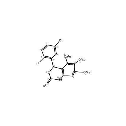 COc1cc2c(c(OC)c1OC)C(c1cc(Cl)ccc1F)OC(=O)N2